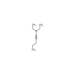 CCCC#CN(CC)CC